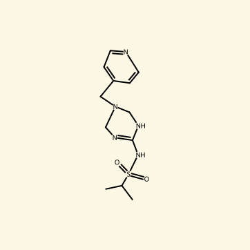 CC(C)S(=O)(=O)NC1=NCN(Cc2ccncc2)CN1